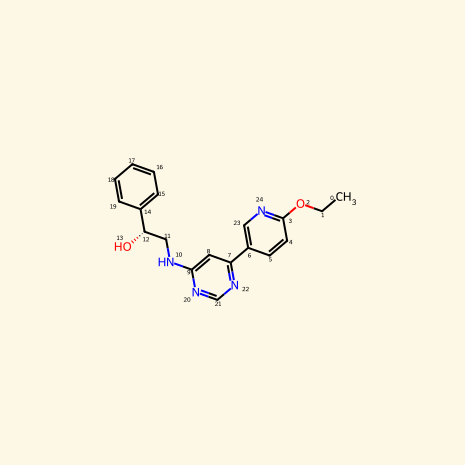 CCOc1ccc(-c2cc(NC[C@H](O)c3ccccc3)ncn2)cn1